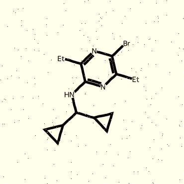 CCc1nc(NC(C2CC2)C2CC2)c(CC)nc1Br